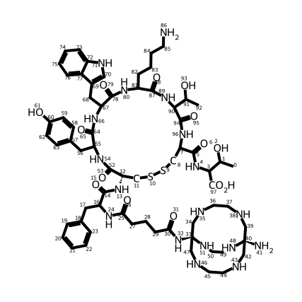 CC(O)C(NC(=O)C1CSSC[C@H](NC(=O)C(Cc2ccccc2)NC(=O)CCCC(=O)N[C@]23CNCCNC[C@](N)(CNCCNC2)NCCN3)C(=O)NC(Cc2ccc(O)cc2)C(=O)NC(Cc2c[nH]c3ccccc23)C(=O)NC(CCCCN)C(=O)NC(C(C)O)C(=O)N1)C(=O)O